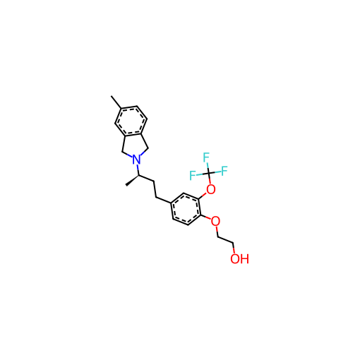 Cc1ccc2c(c1)CN([C@H](C)CCc1ccc(OCCO)c(OC(F)(F)F)c1)C2